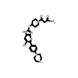 NC(=O)CC(=O)N1CCC(Oc2nc3nc(-c4ccc(N5CCOCC5)cc4)c(Cl)cc3[nH]2)CC1